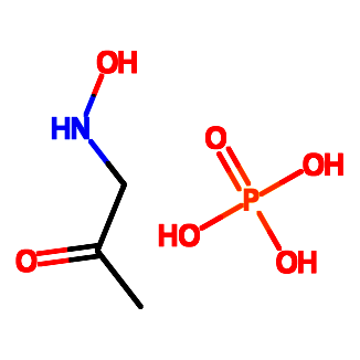 CC(=O)CNO.O=P(O)(O)O